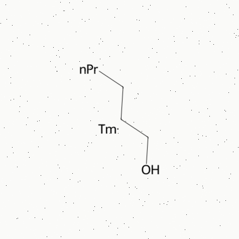 CCCCCCO.[Tm]